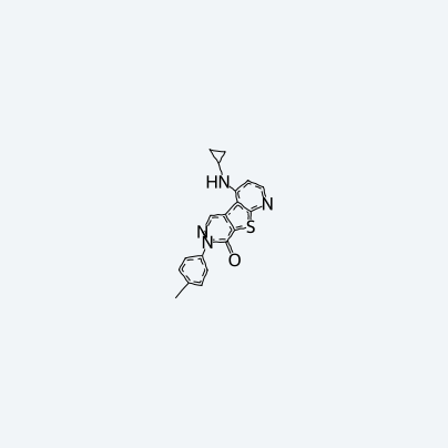 Cc1ccc(-n2ncc3c(sc4nccc(NC5CC5)c43)c2=O)cc1